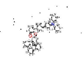 C1=CC2c3c(ccc4c3Oc3cccc(-c5ccc(-c6ccc(N(c7ccccc7)c7ccccc7)cc6)cc5)c3O4)C3(c4ccccc4-c4ccccc43)C2C=C1